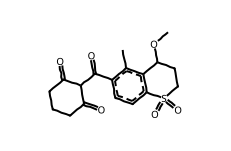 COC1CCS(=O)(=O)c2ccc(C(=O)C3C(=O)CCCC3=O)c(C)c21